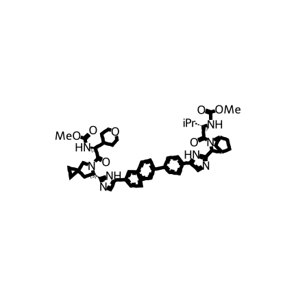 COC(=O)N[C@H](C(=O)N1C2CCC(C2)C1c1ncc(-c2ccc(-c3ccc4cc(-c5cnc([C@@H]6CC7(CC7)CN6C(=O)[C@@H](NC(=O)OC)C6CCOCC6)[nH]5)ccc4c3)cc2)[nH]1)C(C)C